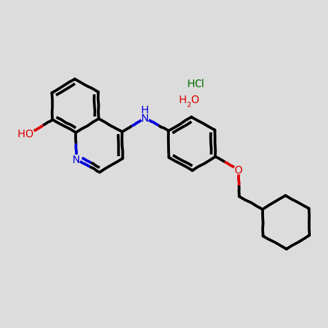 Cl.O.Oc1cccc2c(Nc3ccc(OCC4CCCCC4)cc3)ccnc12